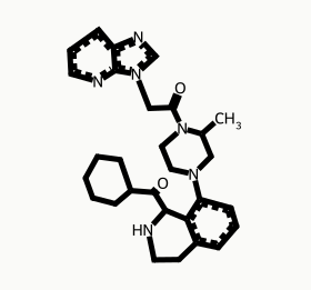 CC1CN(c2cccc3c2C(C(=O)C2CCCCC2)NCC3)CCN1C(=O)Cn1cnc2cccnc21